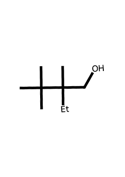 CCC(C)(CO)C(C)(C)C